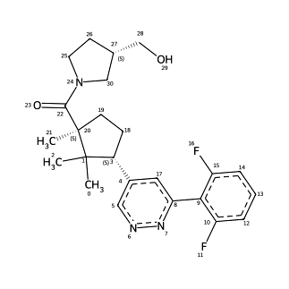 CC1(C)[C@@H](c2cnnc(-c3c(F)cccc3F)c2)CC[C@]1(C)C(=O)N1CC[C@H](CO)C1